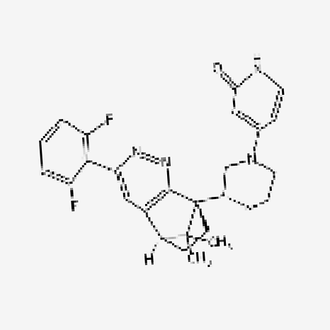 CC1(C)[C@H]2CC[C@]1([C@H]1CCCN(c3cc[nH]c(=O)c3)C1)c1nnc(-c3c(F)cccc3F)cc12